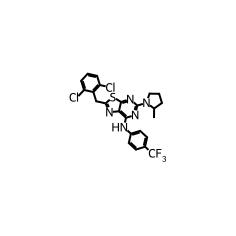 CC1CCCN1c1nc(Nc2ccc(C(F)(F)F)cc2)c2nc(Cc3c(Cl)cccc3Cl)sc2n1